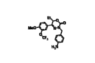 CCC1OC(=O)N(Cc2ccc(N)cc2)N=C1c1ccc(OC)c(OC(F)(F)F)c1